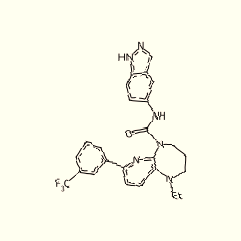 CCN1CCCN(C(=O)Nc2ccc3[nH]ncc3c2)c2nc(-c3cccc(C(F)(F)F)c3)ccc21